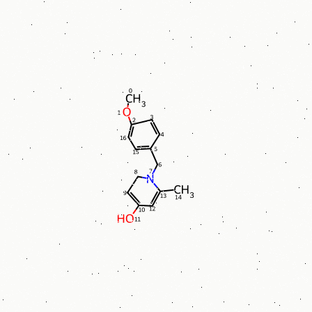 COc1ccc(CN2CC=C(O)C=C2C)cc1